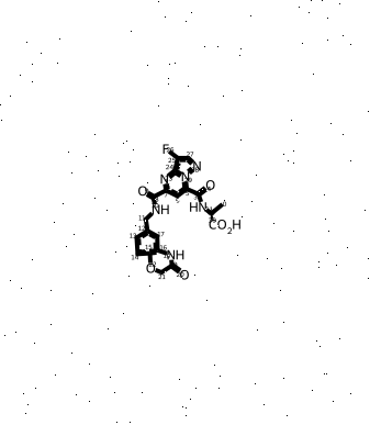 C[C@H](NC(=O)c1cc(C(=O)NCc2ccc3c(c2)NC(=O)CO3)nc2c(F)cnn12)C(=O)O